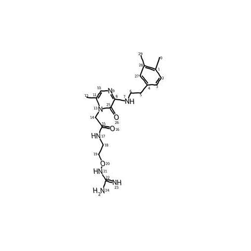 Cc1ccc(CCNc2ncc(C)n(CC(=O)NCCONC(=N)N)c2=O)cc1C